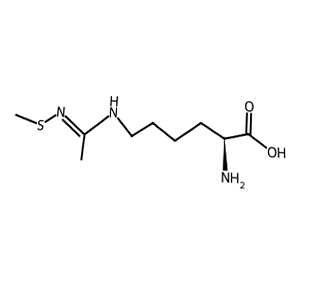 CS/N=C(\C)NCCCC[C@H](N)C(=O)O